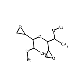 CCOC(C)C(OC(C(C)OCC)C1CO1)C1CO1